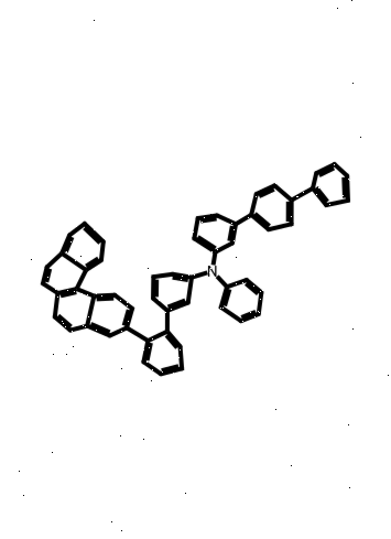 c1ccc(-c2ccc(-c3cccc(N(c4ccccc4)c4cccc(-c5ccccc5-c5ccc6c(ccc7ccc8ccccc8c76)c5)c4)c3)cc2)cc1